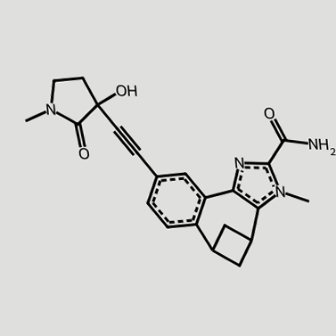 CN1CCC(O)(C#Cc2ccc3c(c2)-c2nc(C(N)=O)n(C)c2C2CC3C2)C1=O